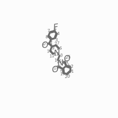 O=C(c1ccc(F)cc1)C1CCN(CCN2C(=O)c3ccccc3C2=O)CC1